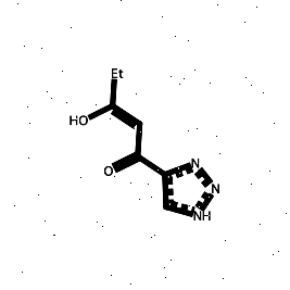 CCC(O)=CC(=O)c1c[nH]nn1